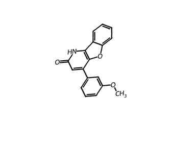 COc1cccc(-c2cc(=O)[nH]c3c2oc2ccccc23)c1